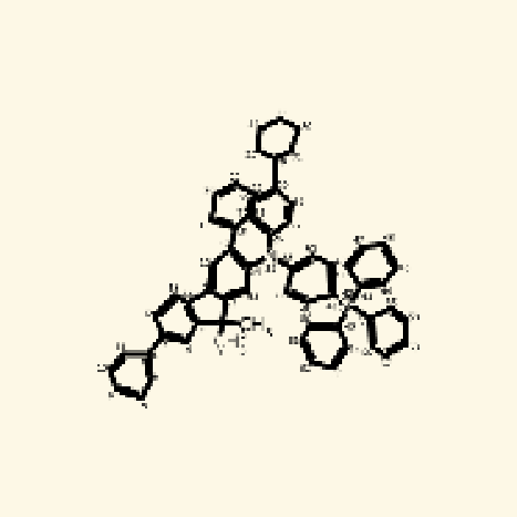 CC1(C)c2cc(-c3ccccc3)ccc2-c2cc(-c3ccccc3)c(N(c3ccc(C4CCCCC4)cc3)c3ccc([Si](c4ccccc4)(c4ccccc4)c4ccccc4)cc3)cc21